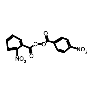 O=C(OOC(=O)c1ccccc1[N+](=O)[O-])c1ccc([N+](=O)[O-])cc1